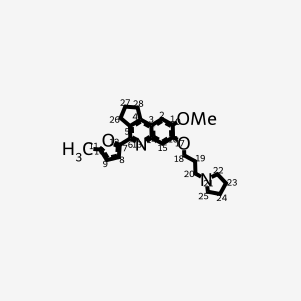 COc1cc2c3c(c(-c4ccc(C)o4)nc2cc1OCCCN1CCCC1)CCC3